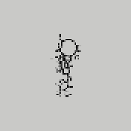 C=C1C[C@@H]2C(=C[C@H]3[C@@H]4C[C@H](O[C@@H]5OC(C)[C@H](OC)C(OC)C5C)C[C@H]4[C@H](C)[C@@H](O)[C@H]32)C(=O)[C@H](C)[C@@H](C)CCC[C@H](CC)O1